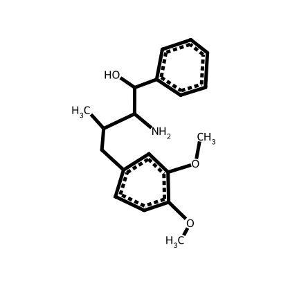 COc1ccc(CC(C)C(N)C(O)c2ccccc2)cc1OC